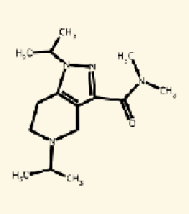 CC(C)N1CCc2c(c(C(=O)N(C)C)nn2C(C)C)C1